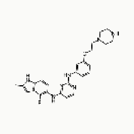 Cc1cc2c(F)c(Nc3ccnc(Nc4cccc(OCCN5CCNCC5)c4)n3)ccc2[nH]1